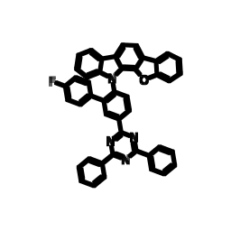 Fc1ccc(-c2cc(-c3nc(-c4ccccc4)nc(-c4ccccc4)n3)ccc2-n2c3ccccc3c3ccc4c5ccccc5oc4c32)cc1